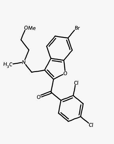 COCCN(C)Cc1c(C(=O)c2ccc(Cl)cc2Cl)oc2cc(Br)ccc12